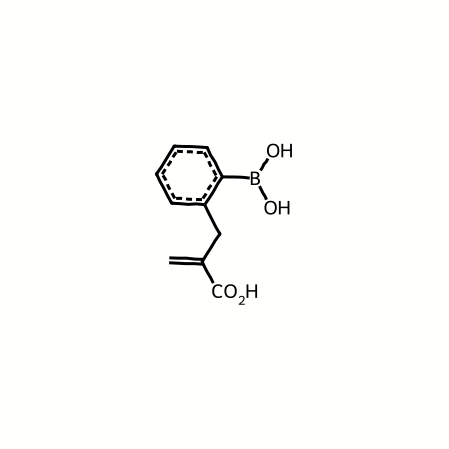 C=C(Cc1ccccc1B(O)O)C(=O)O